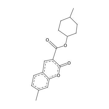 Cc1ccc2cc(C(=O)OC3CCC(C)CC3)c(=O)oc2c1